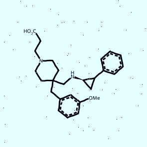 COc1cccc(CC2(CN[C@@H]3CC3c3ccccc3)CCN(CCC(=O)O)CC2)c1